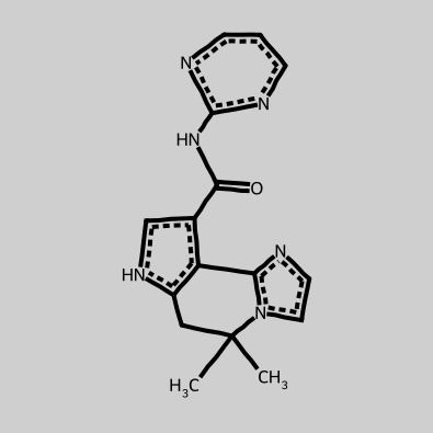 CC1(C)Cc2[nH]cc(C(=O)Nc3ncccn3)c2-c2nccn21